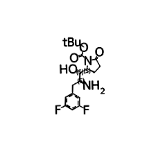 CC(C)(C)OC(=O)N1C(=O)CC[C@H]1[C@@H](O)[C@@H](N)Cc1cc(F)cc(F)c1